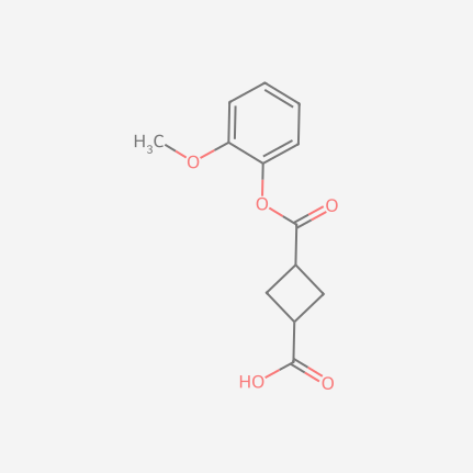 COc1ccccc1OC(=O)C1CC(C(=O)O)C1